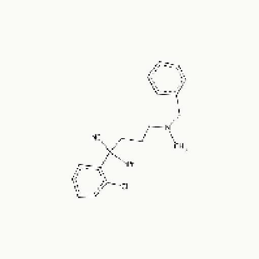 CC(C)C(C#N)(CCCN(C)Cc1ccccc1)c1ccccc1Cl